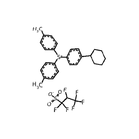 Cc1ccc([S+](c2ccc(C)cc2)c2ccc(C3CCCCC3)cc2)cc1.O=S(=O)([O-])C(F)(F)C(F)C(F)(F)F